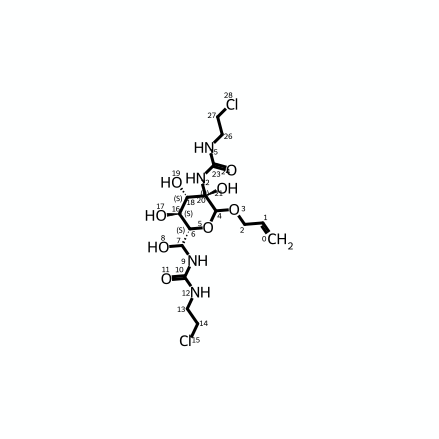 C=CCOC1O[C@H](C(O)NC(=O)NCCCl)[C@@H](O)[C@H](O)[C@]1(O)NC(=O)NCCCl